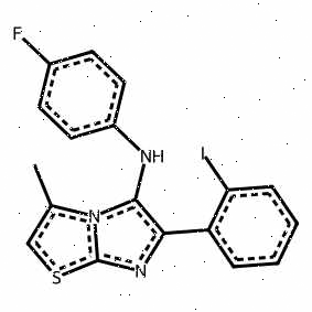 Cc1csc2nc(-c3ccccc3I)c(Nc3ccc(F)cc3)n12